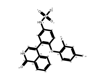 CCS(=O)(=O)Nc1ccc(Oc2ccc(F)cc2F)c(-c2c[nH]c(=O)c3ccccc23)c1